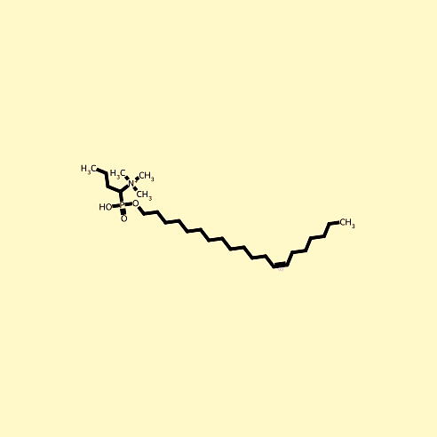 CCCCCC/C=C\CCCCCCCCCCCCOP(=O)(O)C(CCC)[N+](C)(C)C